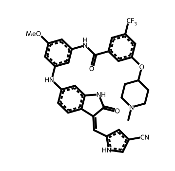 COc1cc(NC(=O)c2cc(OC3CCN(C)CC3)cc(C(F)(F)F)c2)cc(Nc2ccc3c(c2)NC(=O)/C3=C\c2cc(C#N)c[nH]2)c1